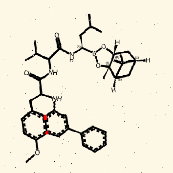 COc1ccc(CC(Nc2cccc(-c3ccccc3)c2)C(=O)NC(C(=O)N[C@@H](CC(C)C)B2O[C@@H]3C[C@@H]4C[C@@H](C4(C)C)[C@]3(C)O2)C(C)C)cc1